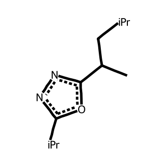 CC(C)CC(C)c1nnc(C(C)C)o1